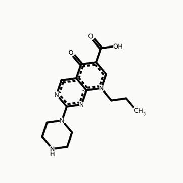 CCCn1cc(C(=O)O)c(=O)c2cnc(N3CCNCC3)nc21